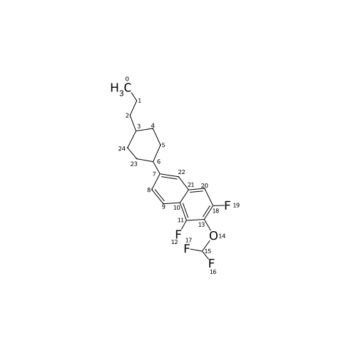 CCCC1CCC(c2ccc3c(F)c(OC(F)F)c(F)cc3c2)CC1